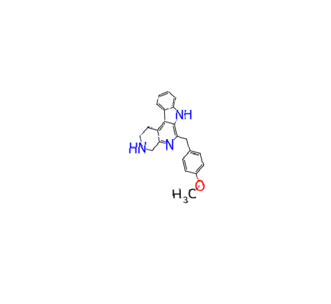 COc1ccc(Cc2nc3c(c4c2[nH]c2ccccc24)CCNC3)cc1